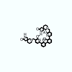 COc1nc(-c2cccc(-c3cccc(-c4ccc(CN5CCCC6(CNC(=O)C6)C5)c(OC)n4)c3Cl)c2Cl)ccc1CN1CCCC2(CNC(=O)C2)C1